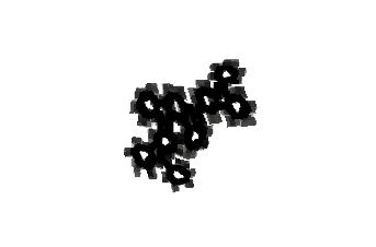 C1=CCC(n2c3ccccc3c3cc(N4c5c(ccc6c5c5ccccc5n6-c5ccc6c(c5)c5ccccc5n6-c5ccccc5)C5C=CC=CC54)ccc32)C=C1